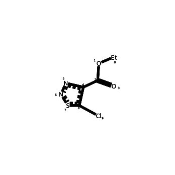 CCOC(=O)c1nnsc1Cl